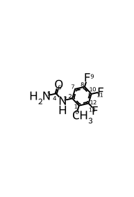 Cc1c(NC(N)=O)cc(F)c(F)c1F